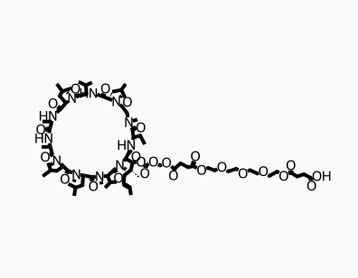 C/C=C/C[C@@H](C)C(OC(=O)OCOC(=O)CCC(=O)OCCOCCOCCOCCOC(=O)CCC(=O)O)C1C(=O)NC(CC)C(=O)N(C)CC(=O)N(C)[C@@H](CC(C)C)C(=O)NC(C(C)C)C(=O)N(C)C(CC(C)C)C(=O)NC(C)C(=O)NC(C)C(=O)N(C)C(CC(C)C)C(=O)N(C)C(CC(C)C)C(=O)N(C)C(C(C)C)C(=O)N1C